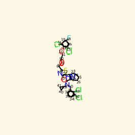 O=C(C1=C(c2cnc(COCCOc3c(Cl)cc(F)cc3Cl)s2)CC2CCC1N2)N(Cc1cccc(Cl)c1Cl)C1CC1